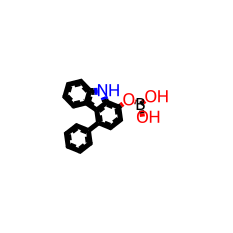 OB(O)Oc1ccc(-c2ccccc2)c2c1[nH]c1ccccc12